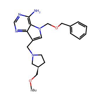 CCCCOC[C@@H]1CCN(Cc2cn(COCc3ccccc3)c3c(N)ncnc23)C1